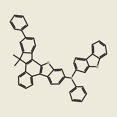 CC1(C)c2cc(-c3ccccc3)ccc2-c2c1c1ccccc1c1c2oc2cc(N(c3ccccc3)c3ccc4c(c3)oc3ccccc34)ccc21